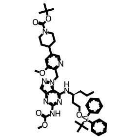 CCC[C@@H](CCO[Si](c1ccccc1)(c1ccccc1)C(C)(C)C)Nc1nc(NC(=O)OC)nc2cnn(Cc3ncc(C4CCN(C(=O)OC(C)(C)C)CC4)cc3OC)c12